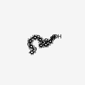 Cc1ccccc1C(=O)c1ccc(Oc2ccc(Cc3ccc(Oc4ccc(C(=O)c5ccccc5-c5ccc(C)c(C(=O)c6cccc(SOOO)c6)c5)cc4)cc3)cc2)cc1